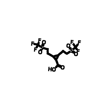 O=C(O)C1C(CCS(=O)(=O)C(F)(F)F)C1CCS(=O)(=O)C(F)(F)F